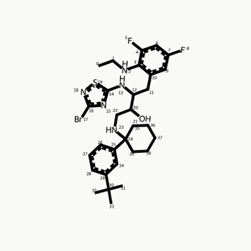 CCNc1c(F)cc(F)cc1CC(Nc1nc(Br)ns1)C(O)CNC1(c2cccc(C(C)(C)C)c2)CCCCC1